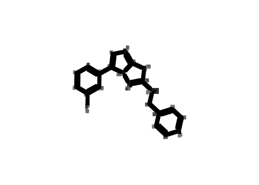 Fc1cccc(-c2cnc3sc(NCc4ccncc4)nn23)c1